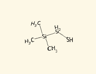 C[Si](C)(C)[SiH2]S